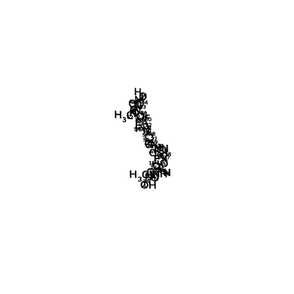 CN(CCO)S(=O)(=O)Nc1ccc(F)c(Oc2ccc3ncn([C@H]4COC5(CCC(N6CC[C@@H](c7cc8c(cc7F)c(N7CCC(=O)NC7=O)nn8C)C(F)(F)C6)CC5)C4)c(=O)c3c2)c1C#N